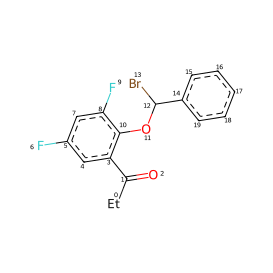 CCC(=O)c1cc(F)cc(F)c1OC(Br)c1ccccc1